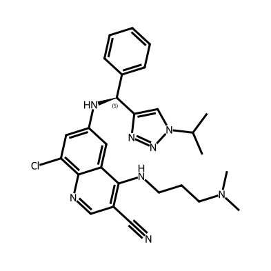 CC(C)n1cc([C@@H](Nc2cc(Cl)c3ncc(C#N)c(NCCCN(C)C)c3c2)c2ccccc2)nn1